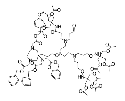 CC(=O)OCC(COC(C)=O)(COC(C)=O)NOCCCN(CCCONC(COC(C)=O)(COC(C)=O)COC(C)=O)CCN(CCN(CCC=O)CCC(=O)NC(COC(C)=O)(COC(C)=O)COC(C)=O)OCCCC1(N(CC(=O)OCc2ccccc2)CC(=O)OCc2ccccc2)CN(CC(=O)OCc2ccccc2)CCN(CC(=O)OCc2ccccc2)C1